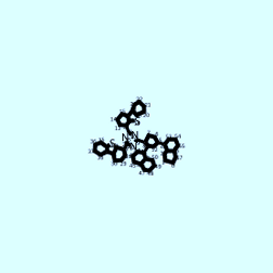 c1ccc2c(-c3ccc(-c4nc(-c5cccc6c5sc5ccccc56)nc(-c5cccc6c5sc5ccccc56)n4)c(-c4cccc5ccccc45)c3)cccc2c1